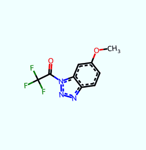 COc1ccc2nnn(C(=O)C(F)(F)F)c2c1